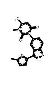 Cc1ccc(-c2snc3ccc(-n4c(=O)cc(C(F)(F)F)n(C)c4=O)cc23)s1